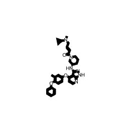 Cc1cc(Oc2ccnc3[nH]nc(N[C@@H]4CCCN(C(=O)C=CCN(C)C5CC5)C4)c23)ccc1Oc1ccccc1